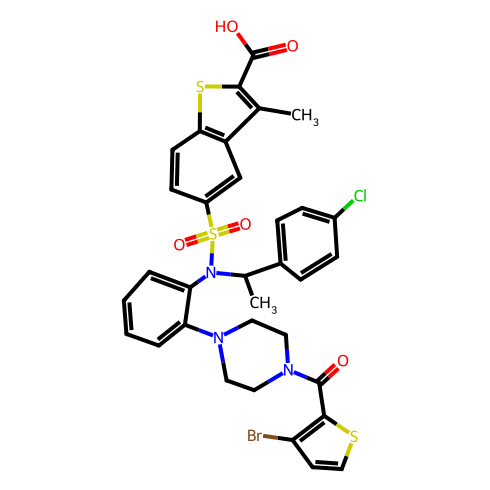 Cc1c(C(=O)O)sc2ccc(S(=O)(=O)N(c3ccccc3N3CCN(C(=O)c4sccc4Br)CC3)C(C)c3ccc(Cl)cc3)cc12